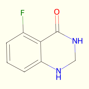 O=C1NCNc2cccc(F)c21